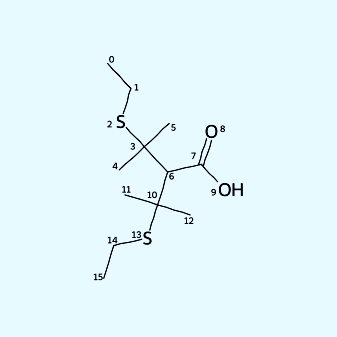 CCSC(C)(C)C(C(=O)O)C(C)(C)SCC